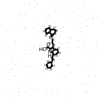 O=C(O)c1[nH]c2c(C=Cc3ccccc3)cccc2c1CCCOc1cccc2ccccc12